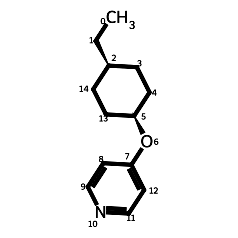 CC[C@H]1CC[C@@H](Oc2ccncc2)CC1